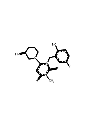 Cn1c(=O)cc(N2CCCC(=N)C2)n(Cc2cc(F)ccc2C#N)c1=O